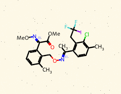 CO/N=C(/C(=O)OC)c1cccc(C)c1CO/N=C(\C)c1ccc(C)c(Cl)c1CC(F)(F)I